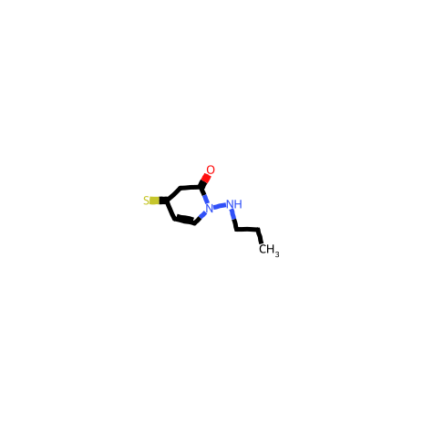 CCCNN1C=CC(=S)CC1=O